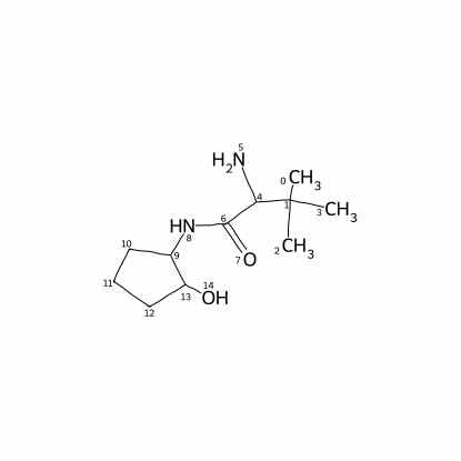 CC(C)(C)C(N)C(=O)NC1CCCC1O